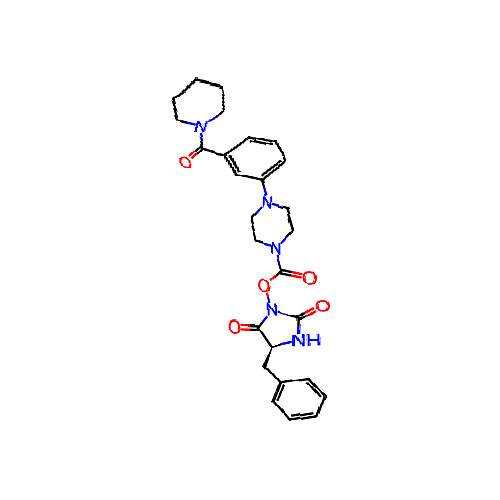 O=C(ON1C(=O)N[C@@H](Cc2ccccc2)C1=O)N1CCN(c2cccc(C(=O)N3CCCCC3)c2)CC1